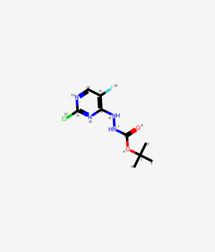 CC(C)(C)OC(=O)NNc1nc(Cl)ncc1F